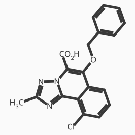 Cc1nc2c3c(Cl)cccc3c(OCc3ccccc3)c(C(=O)O)n2n1